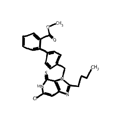 CCCCc1nc2cc(Cl)[nH]c(=S)c2n1Cc1ccc(-c2ccccc2C(=O)OC)cc1